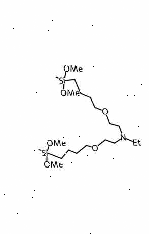 CCN(CCOCCCC[Si](C)(OC)OC)CCOCCCC[Si](C)(OC)OC